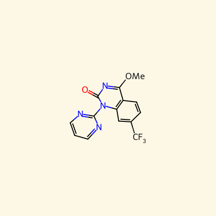 COc1nc(=O)n(-c2ncccn2)c2cc(C(F)(F)F)ccc12